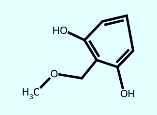 COCc1c(O)cccc1O